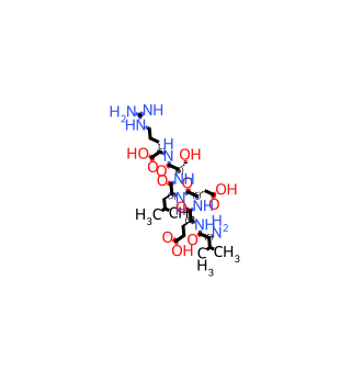 CC(C)C[C@H](NC(=O)[C@H](CC(=O)O)NC(=O)[C@H](CCC(=O)O)NC(=O)[C@@H](N)C(C)C)C(=O)N[C@@H](CO)C(=O)N[C@@H](CCCNC(=N)N)C(=O)O